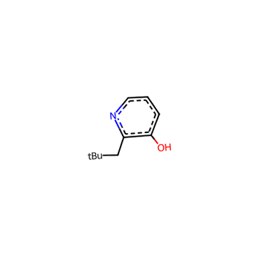 CC(C)(C)Cc1ncccc1O